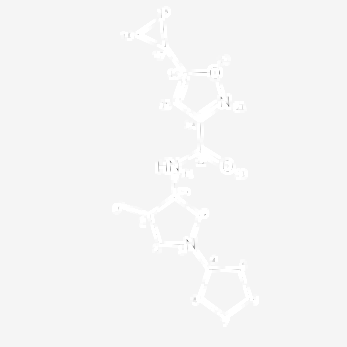 C[C@H]1CN(C2CCCC2)C[C@H]1NC(=O)c1cc(C2CC2)on1